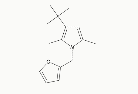 Cc1cc(C(C)(C)C)c(C)n1Cc1ccco1